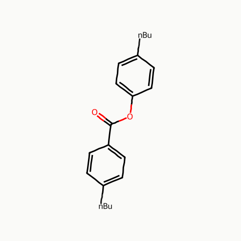 CCCCc1ccc(OC(=O)c2ccc(CCCC)cc2)cc1